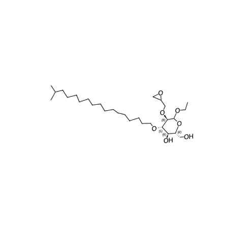 CCOC1O[C@H](CO)[C@@H](O)[C@H](OCCCCCCCCCCCCCCCC(C)C)[C@H]1OCC1CO1